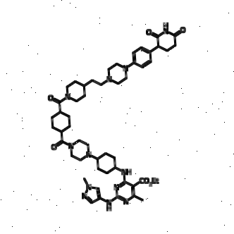 CCOC(=O)c1c(C)nc(Nc2cnn(C)c2)nc1NC1CCC(N2CCN(C(=O)C3CCC(C(=O)N4CCC(CCN5CCN(c6ccc(C7CCC(=O)NC7=O)cc6)CC5)CC4)CC3)CC2)CC1